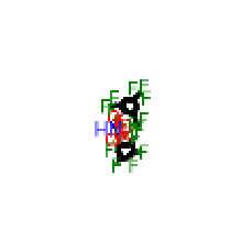 O=S(=O)(NS(=O)(=O)c1c(F)c(F)c(F)c(F)c1F)c1c(C(F)(F)F)cc(C(F)(F)F)cc1C(F)(F)F